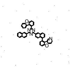 c1ccc2cc(-c3nc(-c4ccc5c(-c6cccc7oc8ccncc8c67)cccc5c4)nc(-c4cccc5oc6ccccc6c45)n3)ccc2c1